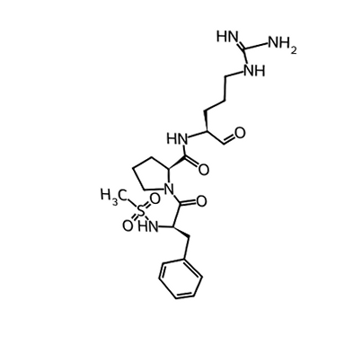 CS(=O)(=O)N[C@H](Cc1ccccc1)C(=O)N1CCC[C@H]1C(=O)N[C@H](C=O)CCCNC(=N)N